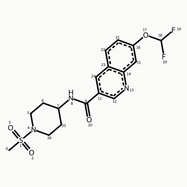 CS(=O)(=O)N1CCC(NC(=O)c2cnc3cc(OC(F)F)ccc3c2)CC1